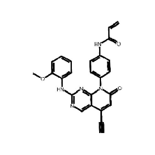 C#Cc1cc(=O)n(-c2ccc(NC(=O)C=C)cc2)c2nc(Nc3ccccc3OC)ncc12